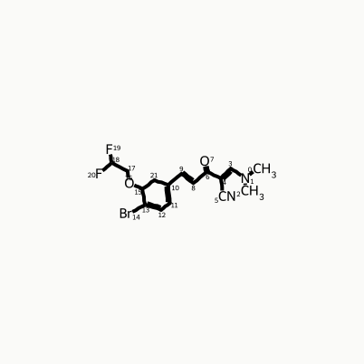 CN(C)/C=C(\C#N)C(=O)/C=C/C1=CC=C(Br)C(OCC(F)F)C1